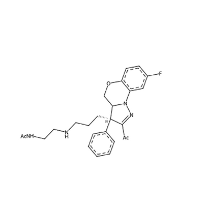 CC(=O)NCCNCCC[C@@]1(c2ccccc2)C(C(C)=O)=NN2c3cc(F)ccc3OCC21